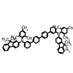 CC1=CC(C)CC(C)=C1N(C1=CCCC(c2ccc(C3=CC=C(C4=CC(N(c5ccc6c(c5)C(C)(C)c5ccccc5-6)c5c(C)cc(C)cc5C)=CCC4)CC3)cc2)=C1)C1=CC2=C(CC1)c1ccccc1C2(C)C